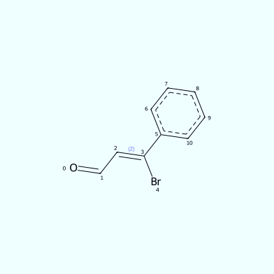 O=C/C=C(\Br)c1ccccc1